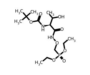 CCOP(=O)(CONC(=O)[C@@H](NC(=O)OC(C)(C)C)C(C)O)OCC